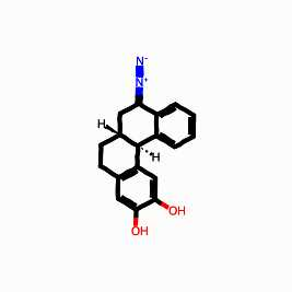 [N-]=[N+]=C1C[C@H]2CCc3cc(O)c(O)cc3[C@@H]2c2ccccc21